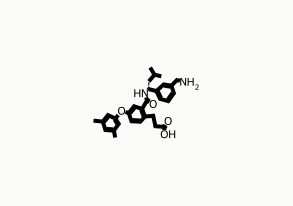 Cc1cc(C)cc(Oc2ccc(CCC(=O)O)c(C(=O)N[C@H](CC(C)C)c3cccc(CN)c3)c2)c1